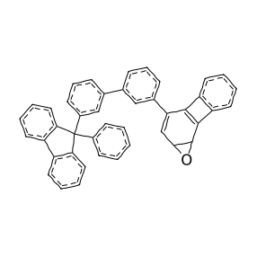 C1=C(c2cccc(-c3cccc(C4(c5ccccc5)c5ccccc5-c5ccccc54)c3)c2)C2=C(c3ccccc32)C2OC12